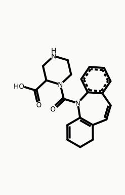 O=C(O)C1CNCCN1C(=O)N1C2=C(C=Cc3ccccc31)CCC=C2